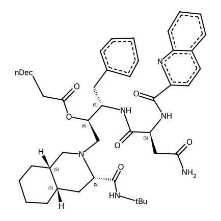 CCCCCCCCCCCC(=O)O[C@H](CN1C[C@H]2CCCC[C@H]2C[C@H]1C(=O)NC(C)(C)C)[C@H](Cc1ccccc1)NC(=O)[C@H](CC(N)=O)NC(=O)c1ccc2ccccc2n1